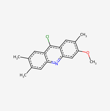 COc1cc2nc3cc(C)c(C)cc3c(Cl)c2cc1C